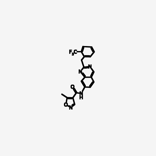 Cc1oncc1C(=O)Nc1ccc2cnc(Cc3ccccc3C(F)(F)F)nc2c1